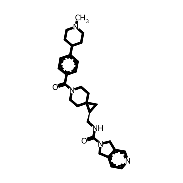 CN1CCC(c2ccc(C(=O)N3CCC4(CC3)C[C@H]4CNC(=O)N3Cc4ccncc4C3)cc2)CC1